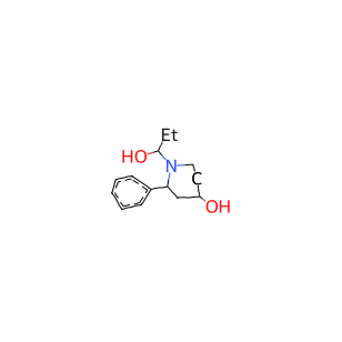 CCC(O)N1CCC(O)CC1c1ccccc1